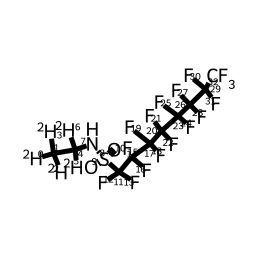 [2H]C([2H])([2H])C([2H])([2H])NS(=O)(=O)C(F)(F)C(F)(F)C(F)(F)C(F)(F)C(F)(F)C(F)(F)C(F)(F)C(F)(F)F